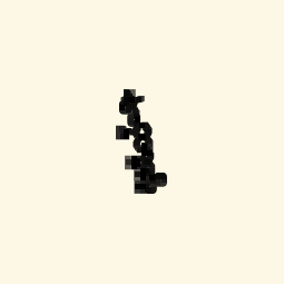 Cc1ncoc1COc1ccc2c(c1Br)CCN(CC(O)CNC(=O)O)C2